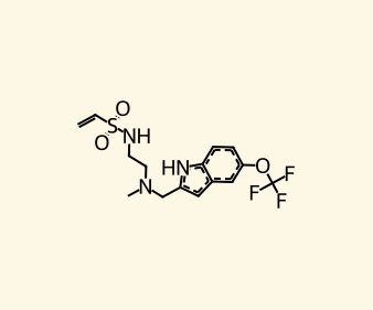 C=CS(=O)(=O)NCCN(C)Cc1cc2cc(OC(F)(F)F)ccc2[nH]1